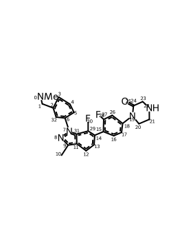 CNCc1cccc(-n2nc(C)c3ccc(-c4ccc(N5CCNCC5=O)cc4F)c(F)c32)c1